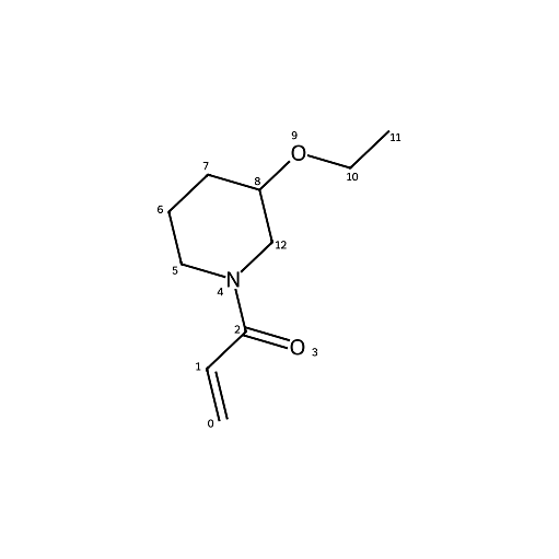 C=CC(=O)N1CCCC(OCC)C1